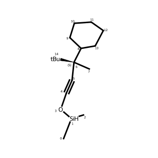 C[SiH](C)OC#C[C@@](C)(C1CCCCC1)C(C)(C)C